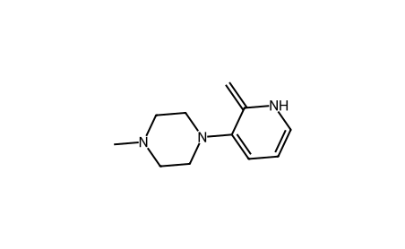 C=C1NC=CC=C1N1CCN(C)CC1